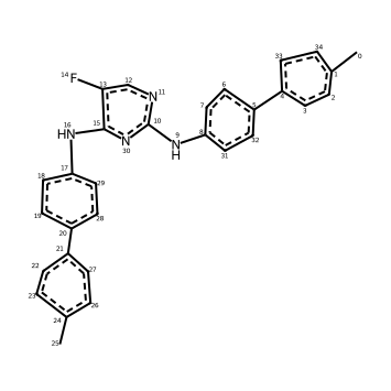 Cc1ccc(-c2ccc(Nc3ncc(F)c(Nc4ccc(-c5ccc(C)cc5)cc4)n3)cc2)cc1